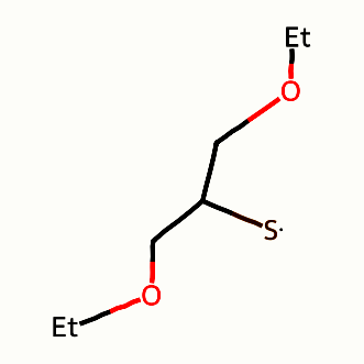 CCOCC([S])COCC